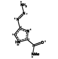 CNC(=O)c1nc(N=NN)c[nH]1